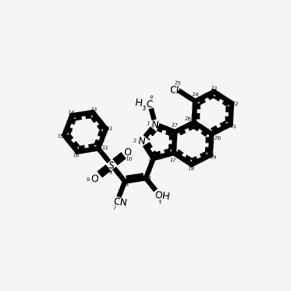 Cn1nc(/C(O)=C(/C#N)S(=O)(=O)c2ccccc2)c2ccc3cccc(Cl)c3c21